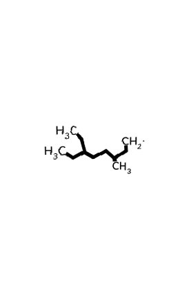 [CH2]CC(C)CCC(CC)CC